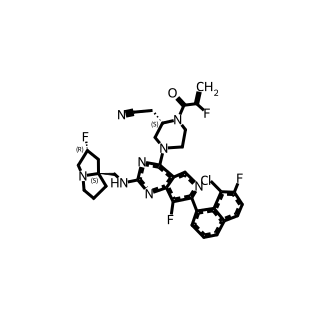 C=C(F)C(=O)N1CCN(c2nc(NC[C@@]34CCCN3C[C@H](F)C4)nc3c(F)c(-c4cccc5ccc(F)c(Cl)c45)ncc23)C[C@@H]1CC#N